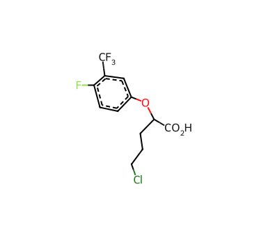 O=C(O)C(CCCCl)Oc1ccc(F)c(C(F)(F)F)c1